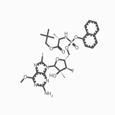 COc1nc(N)nc2c1nc(I)n2C1O[C@H](COP(=O)(N[C@@H](C)C(=O)OCC(C)(C)C)Oc2cccc3ccccc23)[C@@H](F)[C@@]1(C)O